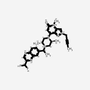 CC#CCn1cc2c(n1)c(N1C[C@@H](C)N(C(C)c3ccc4ncc(C(F)F)nc4c3)C[C@@H]1C)cc(=O)n2C